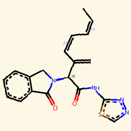 C=C(/C=C\C=C/C)[C@@H](C(=O)Nc1nncs1)N1Cc2ccccc2C1=O